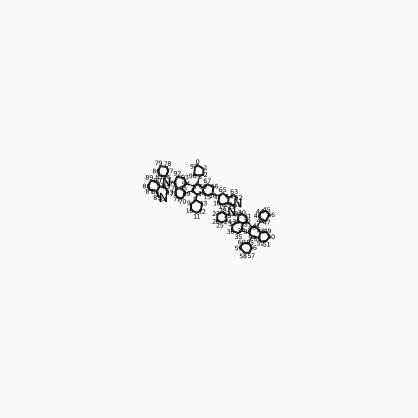 c1ccc(-c2c3c(c(-c4ccccc4)c4cc(-c5ccc6c(N(c7ccccc7)c7ccc8c9c(cccc79)-c7c-8c(-c8ccccc8)c8ccccc8c7-c7ccccc7)nccc6c5)ccc24)-c2cccc4c(N(c5ccccc5)c5cncc6ccccc56)ccc-3c24)cc1